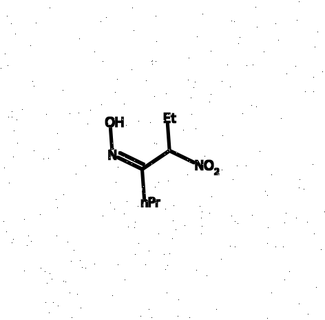 CCCC(=NO)C(CC)[N+](=O)[O-]